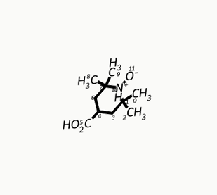 CC1(C)CC(C(=O)O)CC(C)(C)[NH+]1[O-]